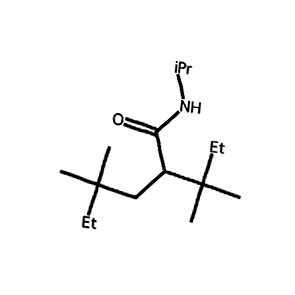 CCC(C)(C)CC(C(=O)NC(C)C)C(C)(C)CC